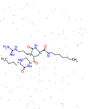 CCCCCCCNC(=O)[C@H]1CC(C(=O)[C@H]2CN[C@@H](CCCC)C(=O)N2)[C@@H](CCCNC(=N)N)C(=O)N1